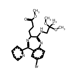 COC(=O)CCC1N=C(c2ccccn2)c2cc(Br)ccc2N=C1NCC(C)(OC)OC